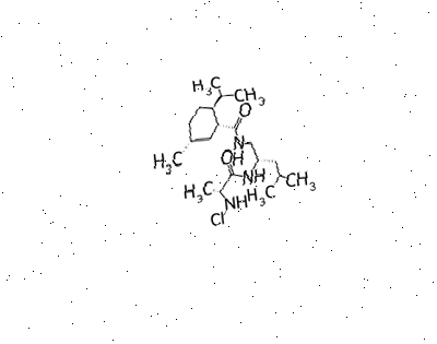 CC(C)C[C@@H](CNC(=O)[C@@H]1C[C@H](C)CC[C@H]1C(C)C)NC(=O)[C@@H](C)NCl